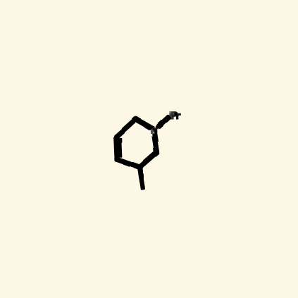 CC1C=CCN(C(C)C)C1